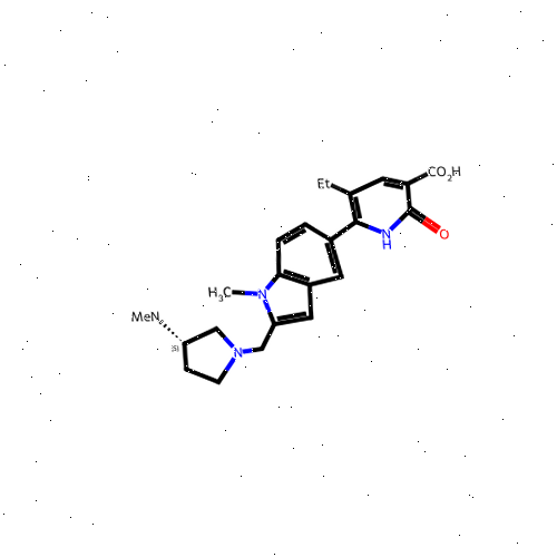 CCc1cc(C(=O)O)c(=O)[nH]c1-c1ccc2c(c1)cc(CN1CC[C@H](NC)C1)n2C